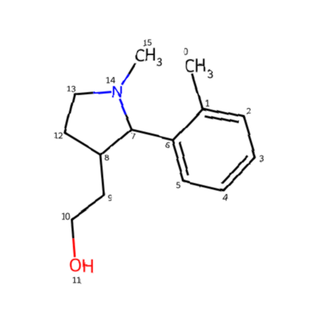 Cc1ccccc1C1C(CCO)CCN1C